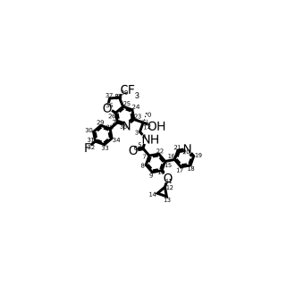 C[C@](O)(CNC(=O)c1ccc(OC2CC2)c(-c2cccnc2)c1)c1cc2c(c(-c3ccc(F)cc3)n1)OC[C@H]2C(F)(F)F